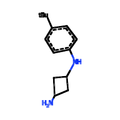 CC(C)(C)c1ccc(NC2CC(N)C2)cc1